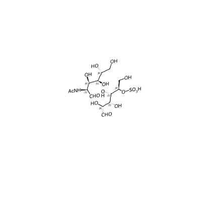 CC(=O)N[C@H](C=O)[C@@H](O)[C@H](O)[C@H](O)CO.O=C[C@H](O)[C@@H](O)[C@H](O)[C@@H](CO)OS(=O)(=O)O